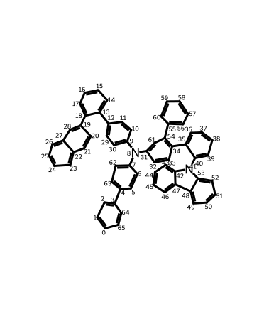 c1ccc(-c2ccc(N(c3ccc(-c4ccccc4-c4ccc5ccccc5c4)cc3)c3ccc(-c4ccccc4-n4c5ccccc5c5ccccc54)c(-c4ccccc4)c3)cc2)cc1